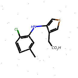 Cc1ccc(Cl)c(Nc2cscc2CC(=O)O)c1